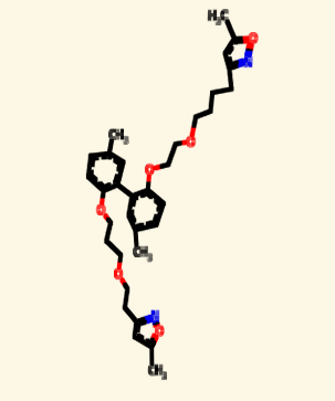 Cc1ccc(OCCCOCCc2cc(C)on2)c(-c2cc(C)ccc2OCCOCCCCc2cc(C)on2)c1